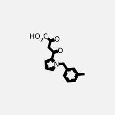 Cc1cccc(Cn2cccc2C(=O)CC(=O)C(=O)O)c1